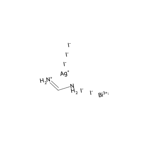 NC=[NH2+].[Ag+].[Bi+3].[I-].[I-].[I-].[I-].[I-]